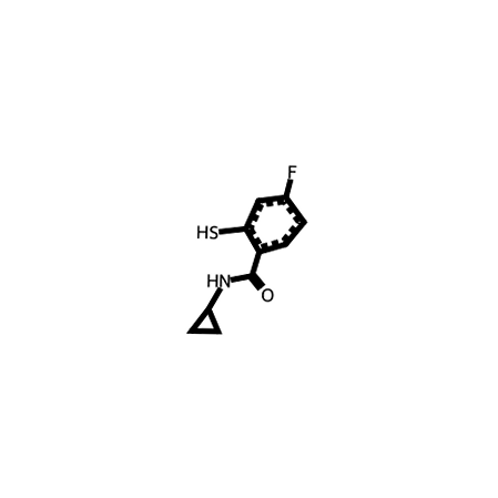 O=C(NC1CC1)c1ccc(F)cc1S